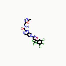 Cc1nnc(CNC(=O)c2ncc3c(n2)CN(C2=NOC(c4cc(Cl)c(F)c(Cl)c4)(C(F)(F)F)C2)C3)o1